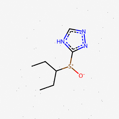 CCC(CC)[S+]([O-])c1nnc[nH]1